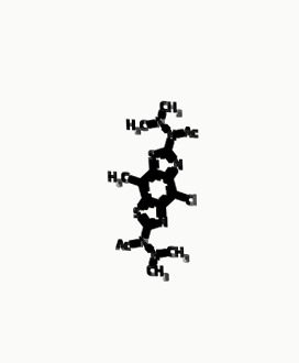 CC(=O)N(c1nc2c(Cl)c3nc(N(C(C)=O)N(C)C)sc3c(C)c2s1)N(C)C